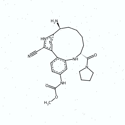 COC(=O)Nc1ccc2c(c1)N[C@@H](C(=O)N1CCCC1)CCCC[C@H](N)c1nc-2c(C#N)[nH]1